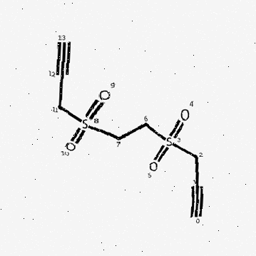 C#CCS(=O)(=O)CCS(=O)(=O)CC#C